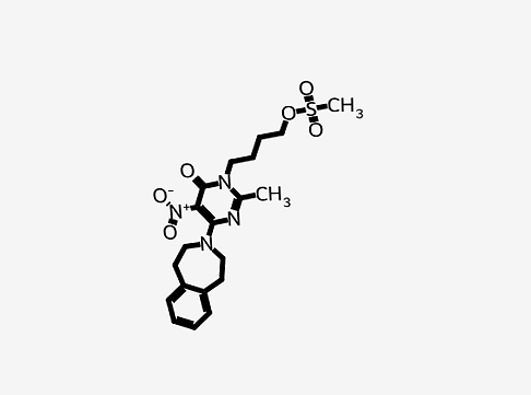 Cc1nc(N2CCc3ccccc3CC2)c([N+](=O)[O-])c(=O)n1CCCCOS(C)(=O)=O